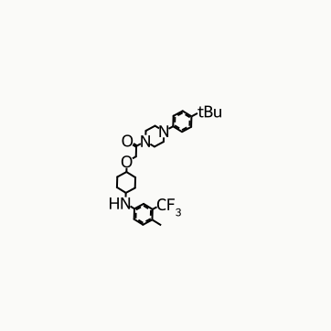 Cc1ccc(NC2CCC(OCC(=O)N3CCN(c4ccc(C(C)(C)C)cc4)CC3)CC2)cc1C(F)(F)F